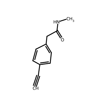 C#Cc1ccc(CC(=O)NC)cc1